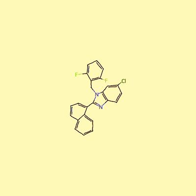 Fc1cccc(F)c1Cn1c(-c2cccc3ccccc23)nc2ccc(Cl)cc21